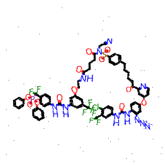 N#CCN(C(=O)CCCC(=O)NCCOc1cc(NC(=O)Nc2ccc(C(F)(F)P(=O)(Oc3ccccc3)Oc3ccccc3)cc2)cc(C(F)(F)F)c1)S(=O)(=O)c1ccc(CCCCCC(=O)c2cc(Oc3ccc(NC(=O)Nc4ccc(Cl)c(C(F)(F)F)c4)c(N=[N+]=[N-])c3)ccn2)cc1